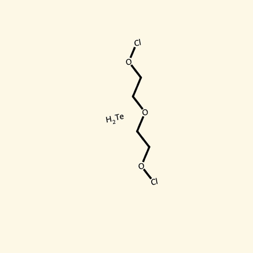 ClOCCOCCOCl.[TeH2]